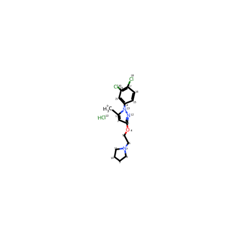 Cc1cc(OCCN2CCCC2)nn1-c1ccc(Cl)c(Cl)c1.Cl